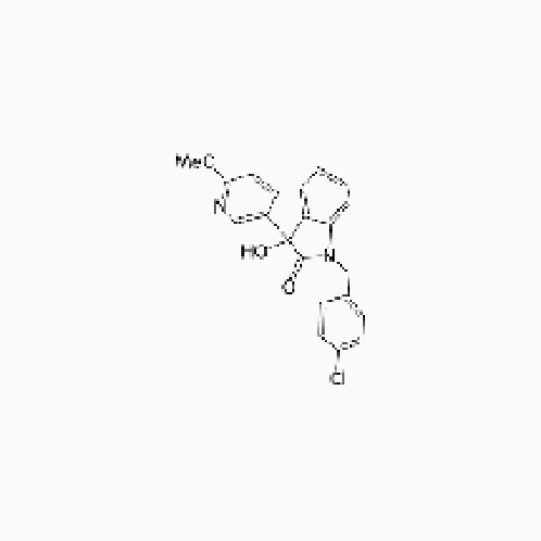 COc1ccc(C2(O)C(=O)N(Cc3ccc(Cl)cc3)c3ccccc32)cn1